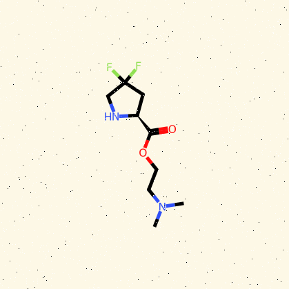 CN(C)CCOC(=O)[C@@H]1CC(F)(F)CN1